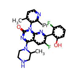 Cc1ccnc(C(C)C)c1-n1c(=O)nc(N2CCNCC2C)c2cc(F)c(-c3c(O)cccc3F)nc21